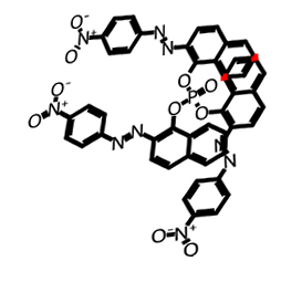 O=[N+]([O-])c1ccc(/N=N/c2ccc3ccccc3c2OP(=O)(Oc2c(/N=N/c3ccc([N+](=O)[O-])cc3)ccc3ccccc23)Oc2c(/N=N/c3ccc([N+](=O)[O-])cc3)ccc3ccccc23)cc1